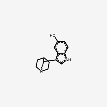 Oc1ccc2[nH]cc(C3CN4CCC3CC4)c2c1